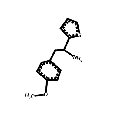 COc1ccc(CC(N)c2cccs2)cc1